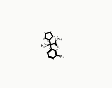 COC(=O)C(C)(c1cccc(F)c1)C1CCCC1